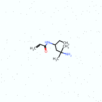 C=CC(=O)NC(CC)CC(C)(C)N